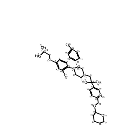 C[C@@H](O)COc1ccc(N2CCN(CC(O)(O)c3ccc(COC4CCCCO4)nc3)C[C@H]2c2ccc(Cl)cc2)c(Cl)c1